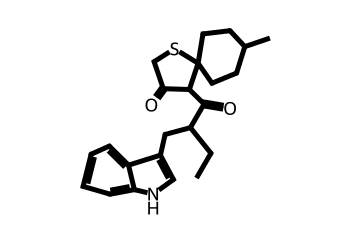 CCC(Cc1c[nH]c2ccccc12)C(=O)C1C(=O)CSC12CCC(C)CC2